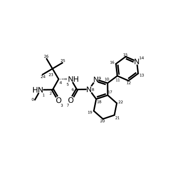 CNC(=O)[C@@H](NC(=O)n1nc(-c2ccncc2)c2c1CCCC2)C(C)(C)C